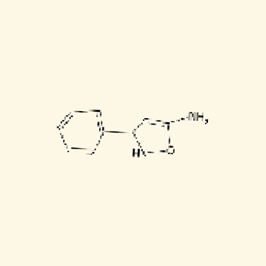 NC1=CC(c2ccccc2)NO1